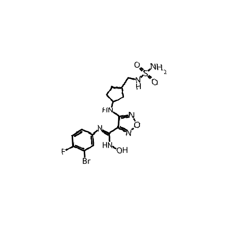 NS(=O)(=O)NCC1CCC(Nc2nonc2C(=Nc2ccc(F)c(Br)c2)NO)C1